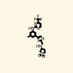 Cc1cc(Nc2nccc(C(F)(F)F)n2)cc(-c2cnc(CNC3CCS(=O)(=O)C3)s2)c1